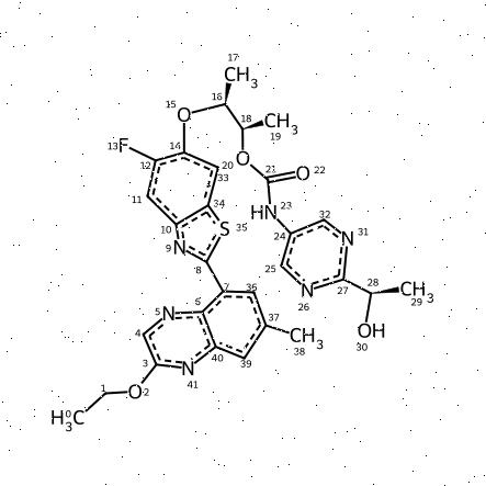 CCOc1cnc2c(-c3nc4cc(F)c(O[C@@H](C)[C@@H](C)OC(=O)Nc5cnc([C@@H](C)O)nc5)cc4s3)cc(C)cc2n1